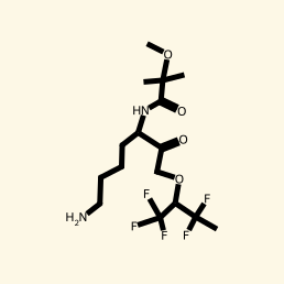 COC(C)(C)C(=O)NC(CCCCN)C(=O)COC(C(C)(F)F)C(F)(F)F